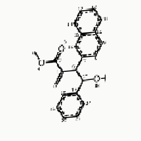 C=C(C(=O)OC)C(c1ccc2ccccc2c1)C(O)c1ccccc1